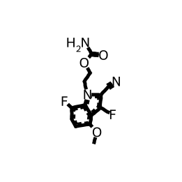 COc1ccc(F)c2c1c(F)c(C#N)n2CCOC(N)=O